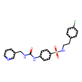 O=C(NCc1cccnc1)Nc1ccc(S(=O)(=O)NCCc2ccc(F)cc2)cc1